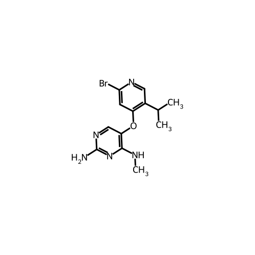 CNc1nc(N)ncc1Oc1cc(Br)ncc1C(C)C